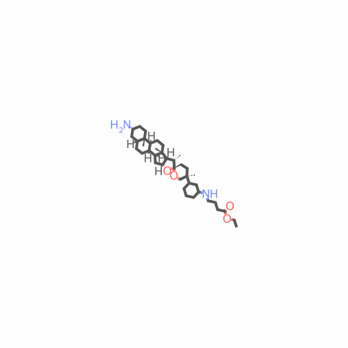 CCOC(=O)CCCNC1CCCC([C@]2(C)CC[C@@]3(OC2)O[C@H]2C[C@H]4[C@@H]5CC[C@@H]6C[C@H](N)CC[C@]6(C)[C@H]5CC[C@]4(C)[C@H]2[C@@H]3C)C1